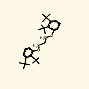 CC(C)(C)c1cccc(O[SiH2]C[SiH2]Oc2cccc(C(C)(C)C)c2C(C)(C)C)c1C(C)(C)C